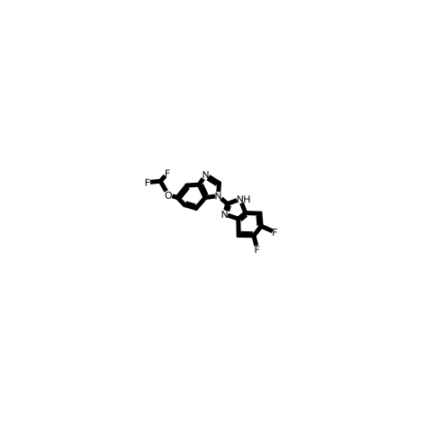 Fc1cc2nc(-n3cnc4cc(OC(F)F)ccc43)[nH]c2cc1F